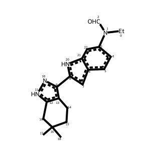 CCN(C=O)c1ccc2cc(-c3n[nH]c4c3CCC(C)(C)C4)[nH]c2c1